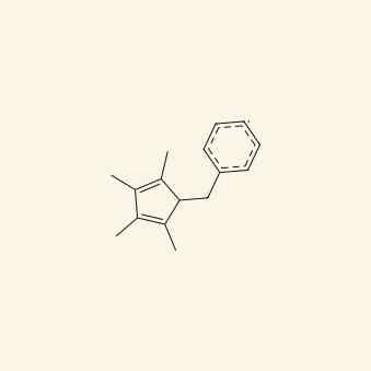 CC1=C(C)C(Cc2cc[c]cc2)C(C)=C1C